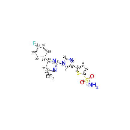 NS(=O)(=O)c1ccc(-c2cn(-c3nc(-c4ccc(F)cc4)cc(C(F)(F)F)n3)cn2)s1